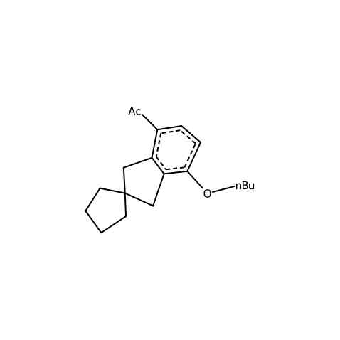 CCCCOc1ccc(C(C)=O)c2c1CC1(CCCC1)C2